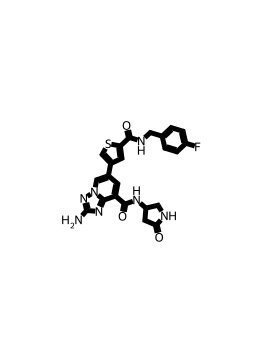 Nc1nc2c(C(=O)NC3CNC(=O)C3)cc(-c3csc(C(=O)NCc4ccc(F)cc4)c3)cn2n1